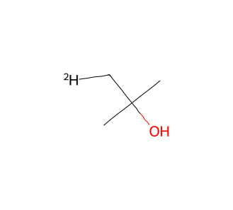 [2H]CC(C)(C)O